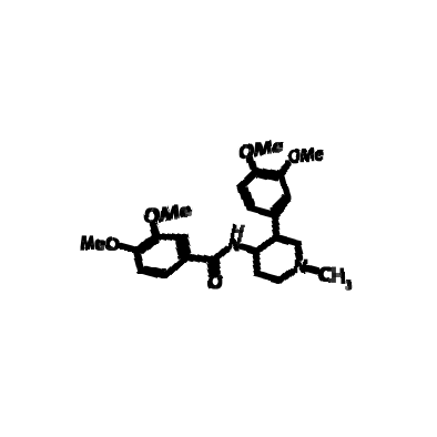 COc1ccc(C(=O)NC2CCN(C)CC2c2ccc(OC)c(OC)c2)cc1OC